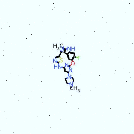 Cc1cc2cc(Oc3nc(Nc4ncc(C#N)s4)cc(N4CCN(C)CC4)n3)c(F)cc2[nH]1